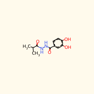 C[C](C)C(=O)NNC(=O)c1ccc(O)c(O)c1